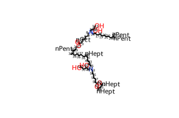 CCCCCCCCOC(CCCCCCN(CCCO)C[C@@H](O)CCCCCCCC(CCCCC)CCCCC)OCCC(CCCCC)C(C)CCCCCC(CCCCCCC)CCC[C@H](O)CN(CCCCO)CCCCCCC1OC(CCCCCCC)CC(CCCCCCC)O1